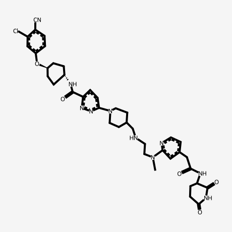 CN(CCNCC1CCN(c2ccc(C(=O)N[C@H]3CC[C@H](Oc4ccc(C#N)c(Cl)c4)CC3)nn2)CC1)c1cc(CC(=O)NC2CCC(=O)NC2=O)ccn1